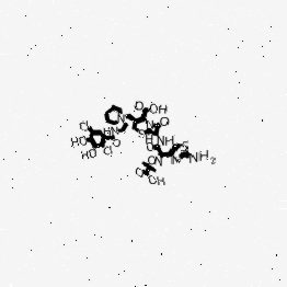 CC(C)(O/N=C(\C(=O)N[C@@H]1C(=O)N2C(C(=O)O)=C(C[N+]3(CCNC(=O)c4cc(Cl)c(O)c(O)c4Cl)CCCCC3)CS[C@H]12)c1csc(N)n1)C(=O)O